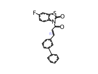 O=C(/C=C/c1cccc(-c2ccccc2)c1)n1c(=O)sc2cc(F)ccc21